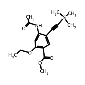 CCOc1cc(NC(C)=O)c(C#C[Si](C)(C)C)cc1C(=O)OC